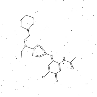 CCN(CCN1CCCCC1)c1ccc(N=C2C=C(Cl)C(=O)C=C2NC(C)=O)cc1